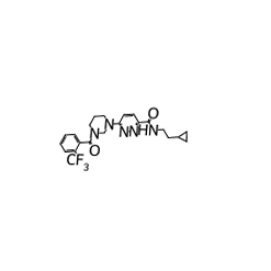 O=C(NCCC1CC1)c1ccc(N2CCCN(C(=O)c3ccccc3C(F)(F)F)C2)nn1